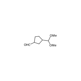 COC(OC)C1CCC(C=O)C1